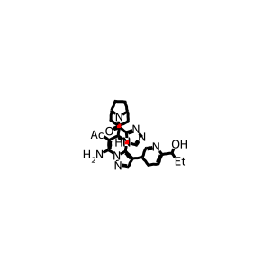 CCC(O)C1=CCC(c2cnn3c(N)c(C(C)=O)c(C4CC5CCC(C4)N5C(=O)c4nnc[nH]4)nc23)C=N1